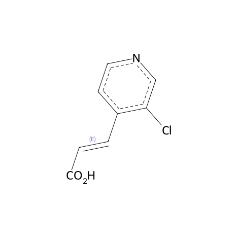 O=C(O)/C=C/c1ccncc1Cl